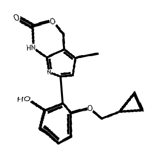 Cc1cc(-c2c(O)cccc2OCC2CC2)nc2c1COC(=O)N2